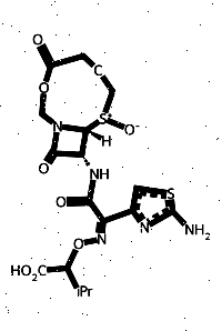 CC(C)C(O/N=C(\C(=O)N[C@@H]1C(=O)N2COC(=O)CCC[S+]([O-])[C@H]12)c1csc(N)n1)C(=O)O